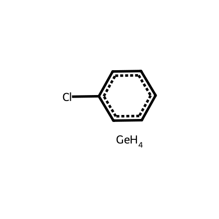 Clc1ccccc1.[GeH4]